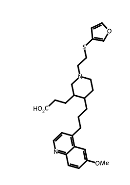 COc1ccc2nccc(CCCC3CCN(CCSc4ccoc4)CC3CCC(=O)O)c2c1